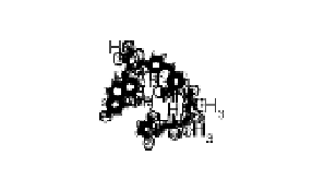 COc1cc(Cc2ccc([C@@H](O)O[C@@H](CC3[C@@H]4CCC5=CC(=O)C=C[C@]5(C)C4[C@@H](O)CC3(C)C)C(=O)CO)cc2)ccc1NC(=O)[C@H](C)NC(=O)[C@H](C)NC(=O)CCN1C(=O)C=CC1=O